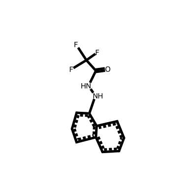 O=C(NNc1cccc2ccccc12)C(F)(F)F